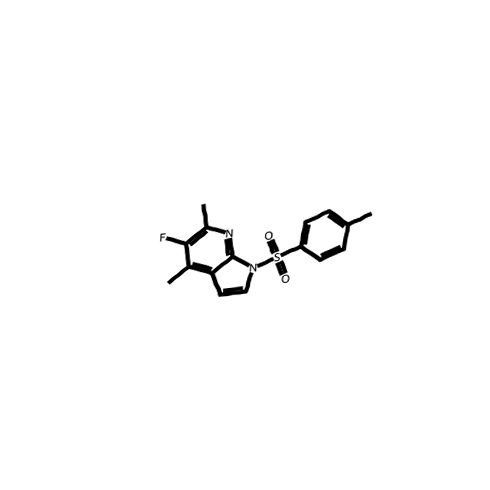 Cc1ccc(S(=O)(=O)n2ccc3c(C)c(F)c(C)nc32)cc1